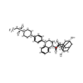 NC(=O)C12CC3C[C@H](C1)C(NC(=O)N1CCN(c4ccc(N5CCN(S(=O)(=O)CC(F)(F)F)CC5)cc4)c4ccccc41)[C@@H](C3)C2